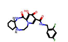 O=C(NCc1ccc(F)cc1F)c1cn2c(c(O)c1=O)C(=O)N[C@H]1CCCC[C@@H]1NCC2